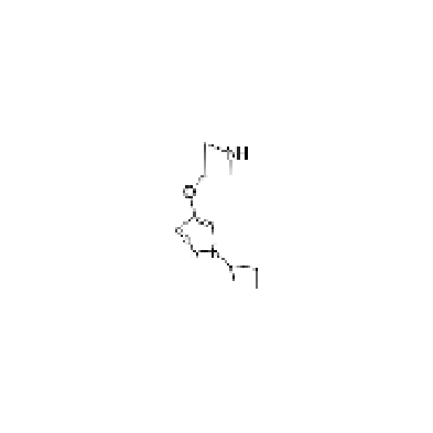 c1nn(C2CCC2)cc1OC1CNC1